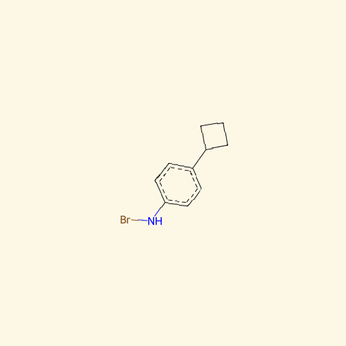 BrNc1ccc(C2CCC2)cc1